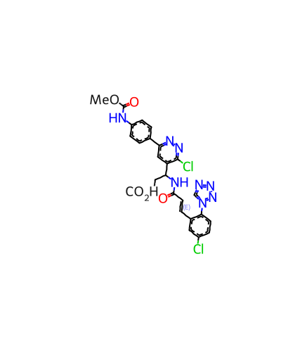 COC(=O)Nc1ccc(-c2cc(C(CC(=O)O)NC(=O)/C=C/c3cc(Cl)ccc3-n3cnnn3)c(Cl)nn2)cc1